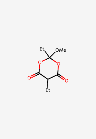 CCC1C(=O)OC(CC)(OC)OC1=O